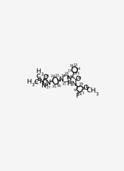 COc1cc(F)cc(NC(=O)C(c2ccccc2)N2CCN(c3ccc(-n4cnn(C(C)C)c4=O)cc3)CC2)c1